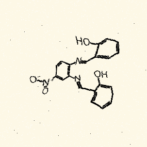 O=[N+]([O-])c1ccc(N=Cc2ccccc2O)c(N=Cc2ccccc2O)c1